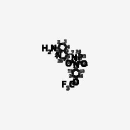 Nc1cccc2c(CN3C(=O)N(c4ccc(OC(F)(F)F)cc4)C(=O)C34CC4)ccnc12